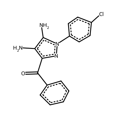 Nc1c(C(=O)c2ccccc2)nn(-c2ccc(Cl)cc2)c1N